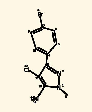 Cn1nc(-c2ccc(Br)cc2)c(Cl)c1C(C)(C)C